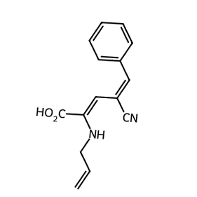 C=CCNC(=CC(C#N)=Cc1ccccc1)C(=O)O